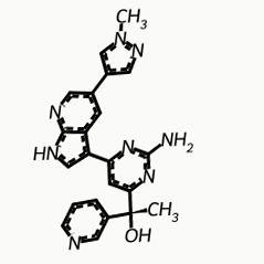 Cn1cc(-c2cnc3[nH]cc(-c4cc([C@](C)(O)c5cccnc5)nc(N)n4)c3c2)cn1